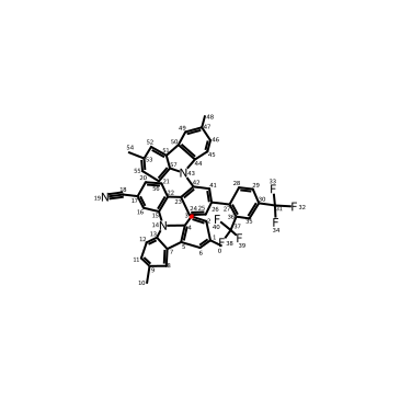 Cc1ccc2c(c1)c1cc(C)ccc1n2-c1cc(C#N)ccc1-c1ccc(-c2ccc(C(F)(F)F)cc2C(F)(F)F)cc1-n1c2ccc(C)cc2c2cc(C)ccc21